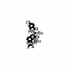 CCCCC(NC(=O)C1=CC=C(Cl)CC1=S)N(Cc1ccc2c(c1)NC(=S)C(C)O2)C(=O)OC(C)(C)C